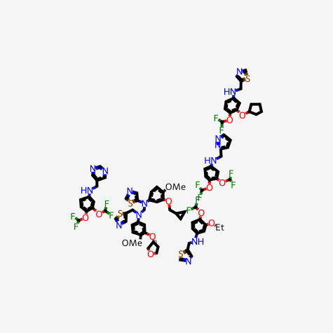 CCOc1cc(NCc2cncs2)ccc1OC(F)F.COc1ccc(N(CN(Cc2cncs2)c2ccc(OC)c(O[C@@H]3CCOC3)c2)c2cncs2)cc1OCC1CC1.FC(F)Oc1ccc(NCc2cccnn2)cc1OC(F)F.FC(F)Oc1ccc(NCc2cncnc2)cc1OC(F)F.FC(F)Oc1ccc(NCc2cncs2)cc1OC1CCCC1